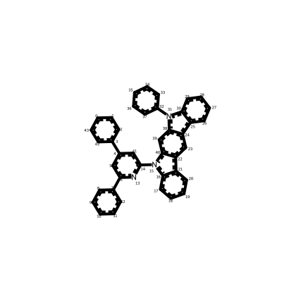 c1ccc(-c2cc(-c3ccccc3)nc(-n3c4ccccc4c4cc5c6ccccc6n(-c6ccccc6)c5cc43)c2)cc1